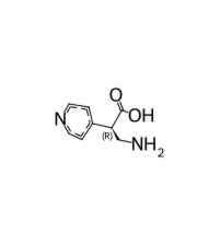 NC[C@H](C(=O)O)c1ccncc1